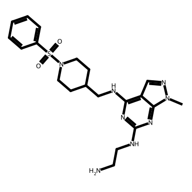 Cn1ncc2c(NCC3CCN(S(=O)(=O)c4ccccc4)CC3)nc(NCCN)nc21